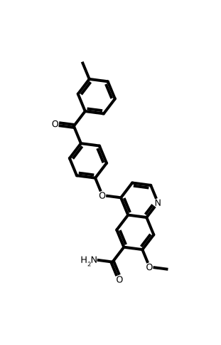 COc1cc2nccc(Oc3ccc(C(=O)c4cccc(C)c4)cc3)c2cc1C(N)=O